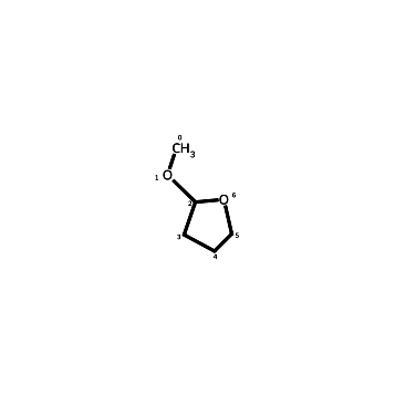 CO[C]1CCCO1